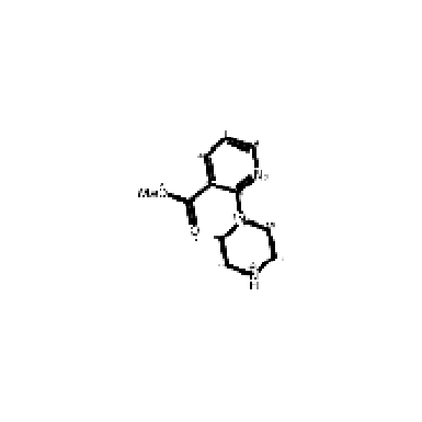 COC(=O)c1cccnc1N1CCNCC1